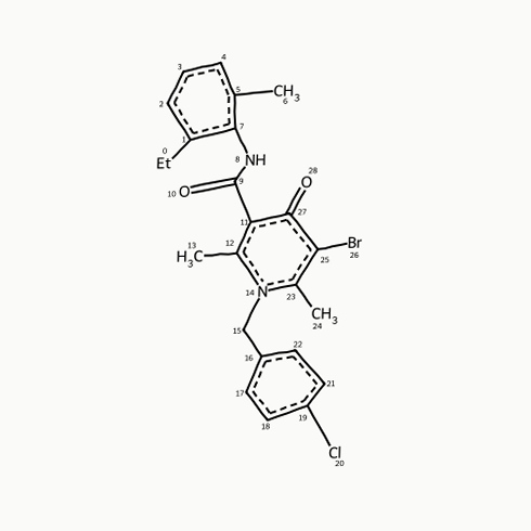 CCc1cccc(C)c1NC(=O)c1c(C)n(Cc2ccc(Cl)cc2)c(C)c(Br)c1=O